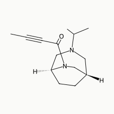 CC#CC(=O)N1C[C@H]2CC[C@H]1CN(C(C)C)C2